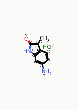 CC1C(=O)Nc2cc(N)ccc21.Cl